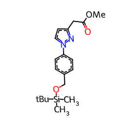 COC(=O)Cc1ccn(-c2ccc(CO[Si](C)(C)C(C)(C)C)cc2)n1